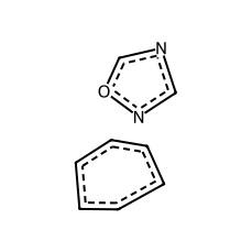 c1ccccc1.c1ncon1